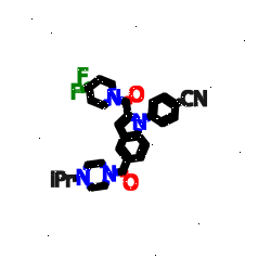 CC(C)N1CCN(C(=O)c2ccc3c(c2)cc(C(=O)N2CCC(F)(F)CC2)n3-c2ccc(C#N)cc2)CC1